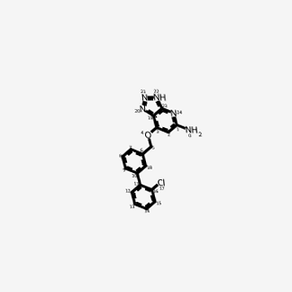 Nc1cc(OCc2cccc(-c3ccccc3Cl)c2)c2nn[nH]c2n1